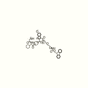 CN[C@@H](C)C(=O)N[C@H](C(=O)N1CCN(C(=O)c2c(C(=O)NCCOCCONC(=O)OCC3c4ccccc4-c4ccccc43)c3ccc(OC)cc3n2C)CC1)C1CCCCC1